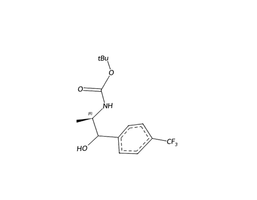 C[C@@H](NC(=O)OC(C)(C)C)C(O)c1ccc(C(F)(F)F)cc1